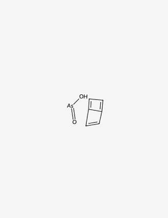 O=[As]O.c1cc2ccc1-2